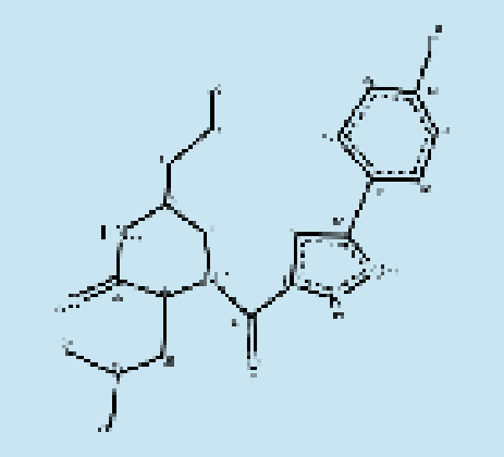 CCCC1CN(C(=O)c2cc(-c3ccc(F)cc3)on2)C(CC(C)C)C(=O)N1